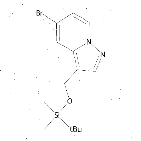 CC(C)(C)[Si](C)(C)OCc1cnn2ccc(Br)cc12